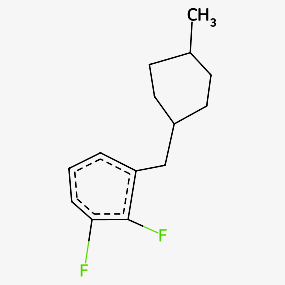 CC1CCC(Cc2cccc(F)c2F)CC1